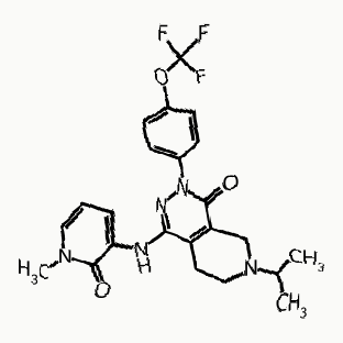 CC(C)N1CCc2c(Nc3cccn(C)c3=O)nn(-c3ccc(OC(F)(F)F)cc3)c(=O)c2C1